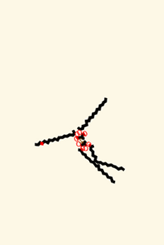 CCCCCCCCCCCCCCCCC(C)OC(=O)C(C)(SC(C)(C(=O)OC(C)CCCCCCCCCCCCCCCC)C(=O)OC(C)CCCCCCCCCCCCCCCC)C(=O)OC(C)CCCCCCCCCCCCCCCC